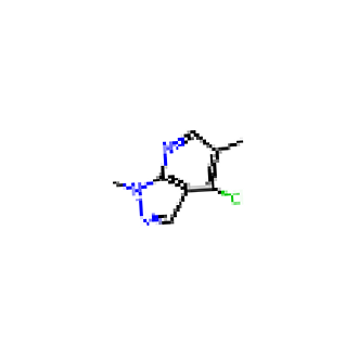 Cc1cnc2c(cnn2C)c1Cl